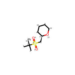 CC(C)C(C)(C)S(=O)(=O)C[C@H]1CCCCO1